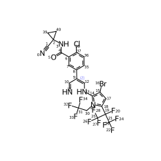 N#CC1(NC(=O)c2cc(/C(C=N)=C/Nc3c(Br)cc(C(F)(C(F)(F)F)C(F)(F)F)n3CC(F)(F)F)ccc2Cl)CC1